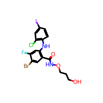 O=C(NOCCCO)c1cc(Br)c(F)cc1Nc1ccc(I)cc1Cl